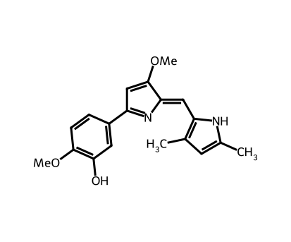 COC1=CC(c2ccc(OC)c(O)c2)=NC1=Cc1[nH]c(C)cc1C